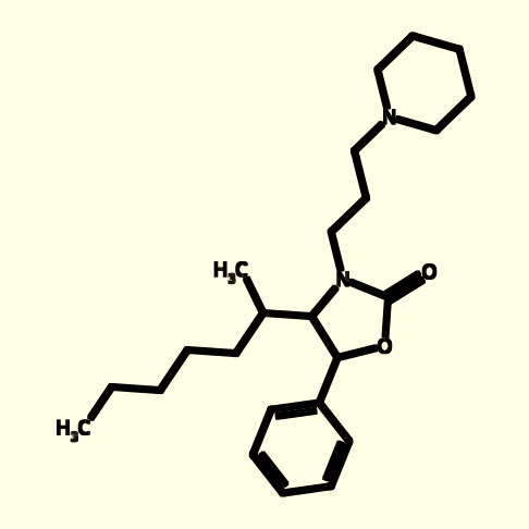 CCCCCC(C)C1C(c2ccccc2)OC(=O)N1CCCN1CCCCC1